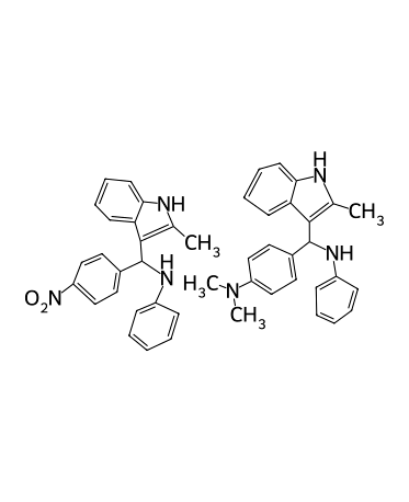 Cc1[nH]c2ccccc2c1C(Nc1ccccc1)c1ccc(N(C)C)cc1.Cc1[nH]c2ccccc2c1C(Nc1ccccc1)c1ccc([N+](=O)[O-])cc1